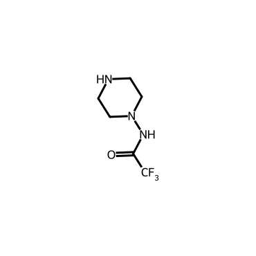 O=C(NN1CCNCC1)C(F)(F)F